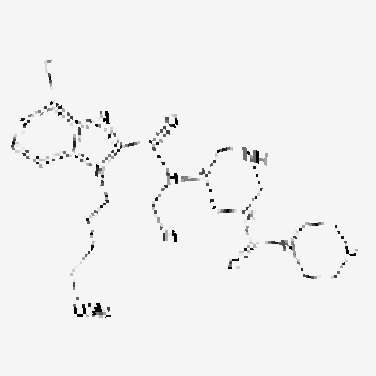 COCCCCn1c(C(=O)N(CC(C)C)[C@@H]2CNC[C@H](C(=O)N3CCOCC3)C2)nc2c(F)cccc21